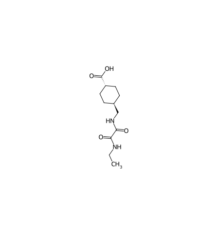 CCNC(=O)C(=O)NC[C@H]1CC[C@H](C(=O)O)CC1